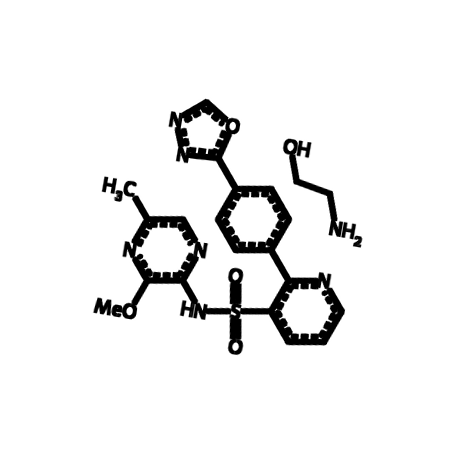 COc1nc(C)cnc1NS(=O)(=O)c1cccnc1-c1ccc(-c2nnco2)cc1.NCCO